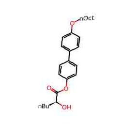 CCCCCCCCOc1ccc(-c2ccc(OC(=O)[C@@H](O)CCCC)cc2)cc1